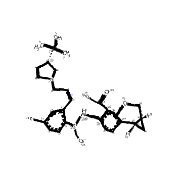 CC(C)(O)[C@H]1CCN(C/C=C\c2cc(F)ccc2[S+]([O-])Nc2ccc3c(c2C(=O)O)OC[C@@H]2C[C@H]32)C1